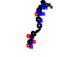 CN1CCC[C@@H]1c1cc2cnc(NC(=O)c3ccc(N4CCC(CC#Cc5ccc6c(c5)CN(C5CCC(=O)NC5=O)C6=O)CC4)nc3)cc2[nH]1